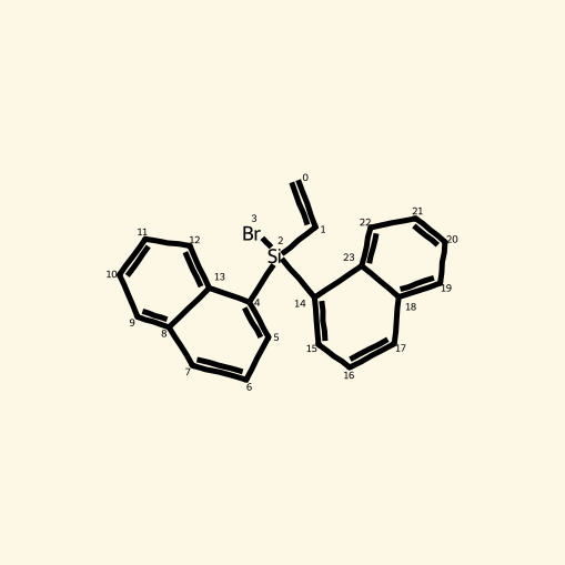 C=C[Si](Br)(c1cccc2ccccc12)c1cccc2ccccc12